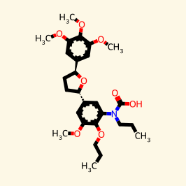 CCCOc1c(OC)cc([C@@H]2CC[C@@H](c3cc(OC)c(OC)c(OC)c3)O2)cc1N(CCC)C(=O)O